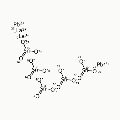 [La+3].[La+3].[O]=[Sn]([O-])[O-].[O]=[Sn]([O-])[O-].[O]=[Sn]([O-])[O-].[O]=[Sn]([O-])[O-].[O]=[Sn]([O-])[O-].[Pb+2].[Pb+2]